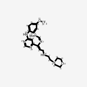 CN/C=N\C(=C/CNCCN1CCOCC1)c1cc(Nc2ccc(OC(F)(F)F)cc2)ncn1